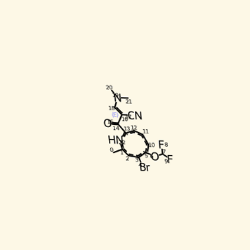 Cc1cc(Br)c(OC(F)F)cccc(C(=O)/C(C#N)=C/N(C)C)[nH]1